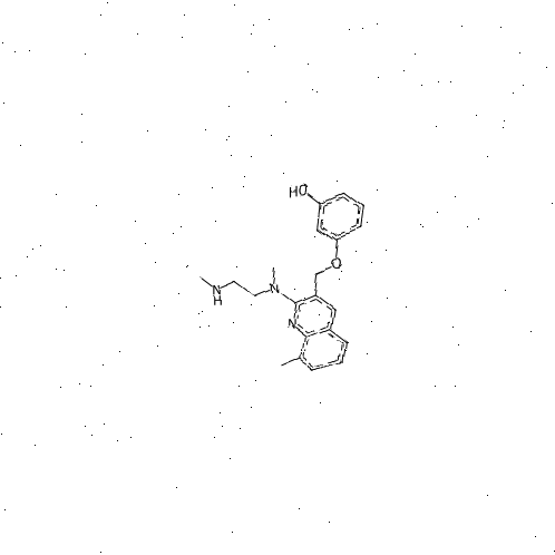 CNCCN(C)c1nc2c(C)cccc2cc1COc1cccc(O)c1